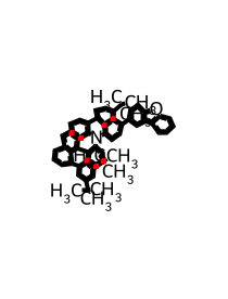 CC(C)(C)c1ccc(-c2ccccc2N(c2ccc(-c3ccc4oc5ccccc5c4c3)cc2)c2ccccc2-c2cccc3cccc(-c4cc(C(C)(C)C)cc(C(C)(C)C)c4)c23)cc1